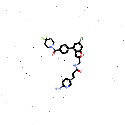 Nc1ccc(/C=C/C(=O)NCc2cc3c(-c4ccc(C(=O)N5CCC(F)(F)CC5)cc4)cc(Cl)cc3o2)cn1